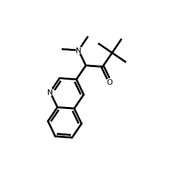 CN(C)C(C(=O)C(C)(C)C)c1cnc2ccccc2c1